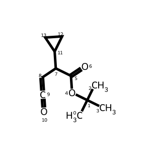 CC(C)(C)OC(=O)C(C=C=O)C1CC1